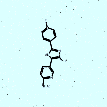 CCCc1nc(-c2ccc(F)cc2)[nH]c1-c1ccc(NC(C)=O)nc1